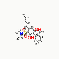 C=C(C)c1ccc(C)cc1-c1c(O)cc(CCCCC)c(S(=O)(=O)N(CC)CC)c1O